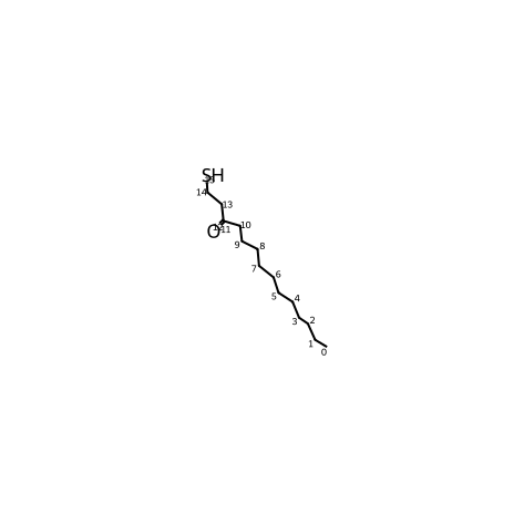 CCCCCCCCCCCC(=O)CCS